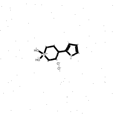 [Cl-].[Cl-].[OH][Ti+2]1([OH])[CH2]CC(c2cccs2)C[CH2]1